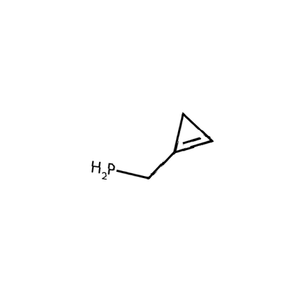 PCC1=CC1